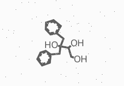 OCC(O)C(O)(Cc1ccccc1)Cc1ccccc1